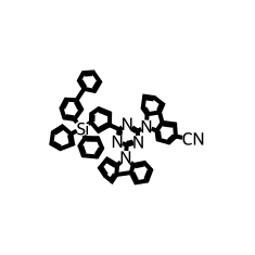 N#Cc1ccc2c(c1)c1ccccc1n2-c1nc(-c2cccc([Si](c3ccccc3)(c3ccccc3)c3cccc(-c4ccccc4)c3)c2)nc(-n2c3ccccc3c3ccccc32)n1